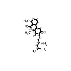 Cc1nccc2c1c(=O)n(C)c1c(F)c(OC[C@@H](N)CC(C)C)c(Cl)cc21